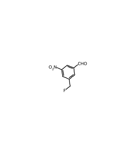 O=Cc1cc(CF)cc([N+](=O)[O-])c1